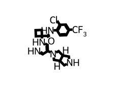 N=C/C(=C\NC1(C(=O)Nc2ccc(C(F)(F)F)cc2Cl)CCC1)N1C[C@H]2CNC[C@H]2C1